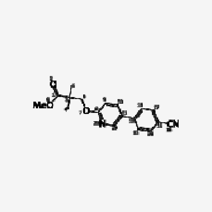 COC(=O)C(C)(C)COc1ccc(-c2ccc(C#N)cc2)cn1